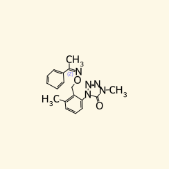 C/C(=N/OCc1c(C)cccc1-n1nnn(C)c1=O)c1ccccc1